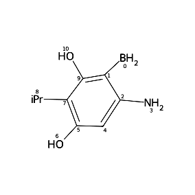 Bc1c(N)cc(O)c(C(C)C)c1O